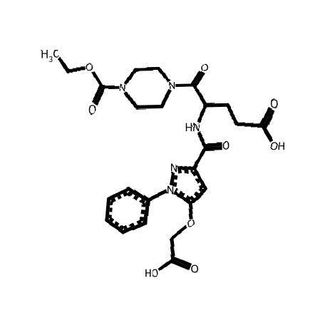 CCOC(=O)N1CCN(C(=O)C(CCC(=O)O)NC(=O)c2cc(OCC(=O)O)n(-c3ccccc3)n2)CC1